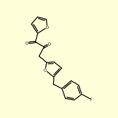 O=C(Cc1ccc(Cc2ccc(F)cc2)o1)C(=O)c1ccco1